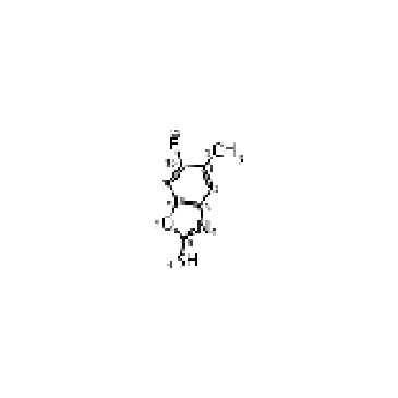 Cc1cc2nc(S)oc2cc1F